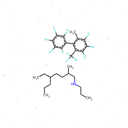 CCCNCC(C)CCC(CC)CCC.Cc1c(F)c(F)c(F)c(C(F)(F)F)c1-c1c(F)c(F)c(F)c(F)c1F